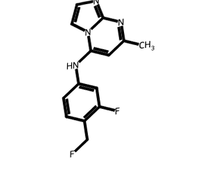 Cc1cc(Nc2ccc(CF)c(F)c2)n2ccnc2n1